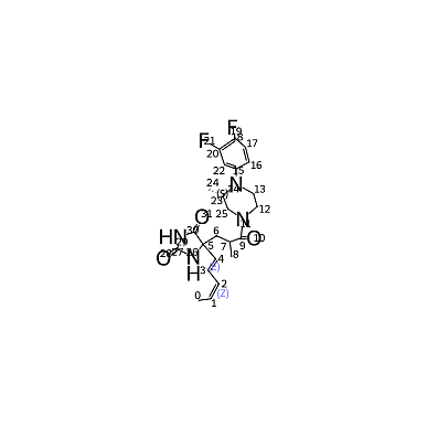 C/C=C\C=C\C1(CC(C)C(=O)N2CCN(c3ccc(F)c(F)c3)[C@@H](C)C2)NC(=O)NC1=O